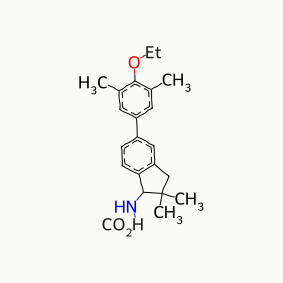 CCOc1c(C)cc(-c2ccc3c(c2)CC(C)(C)C3NC(=O)O)cc1C